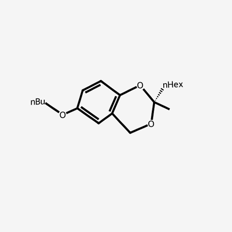 CCCCCC[C@]1(C)OCc2cc(OCCCC)ccc2O1